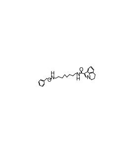 O=C(NCCCCCCCCNOCc1ccccc1)c1cn2c3c(cccc13)CCC2